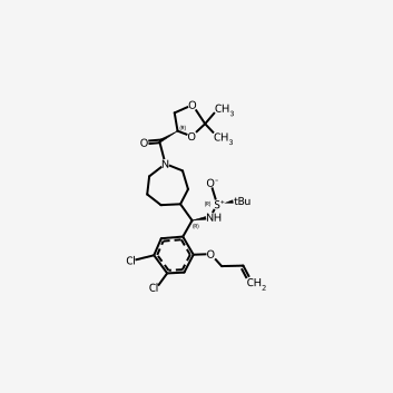 C=CCOc1cc(Cl)c(Cl)cc1[C@H](N[S@@+]([O-])C(C)(C)C)C1CCCN(C(=O)[C@H]2COC(C)(C)O2)CC1